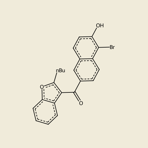 CCCCc1oc2ccccc2c1C(=O)c1ccc2c(Br)c(O)ccc2c1